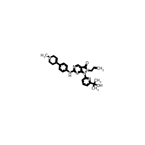 C=CCn1c(=O)c2cnc(Nc3ccc(C4=CCN(C)CC4)cc3)nc2n1-c1cccc(C(C)(C)O)n1